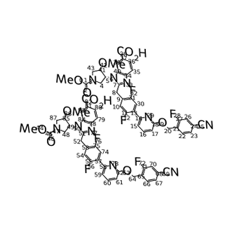 COC(=O)N1C[C@@H](n2c(Cc3cc(F)c(-c4cccc(OCc5ccc(C#N)cc5F)n4)cc3F)nc3ccc(C(=O)O)cc32)[C@H](OC)C1.COC(=O)N1C[C@@H](n2c(Cc3cc(F)c(-c4cccc(OCc5ccc(C#N)cc5F)n4)cc3F)nc3ccc(C(=O)O)cc32)[C@H](OC)C1